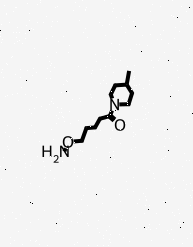 CC1CCN(C(=O)CCCCON)CC1